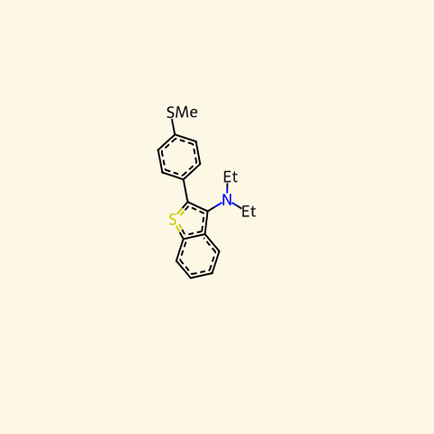 CCN(CC)c1c(-c2ccc(SC)cc2)sc2ccccc12